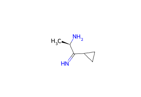 C[C@@H](N)C(=N)C1CC1